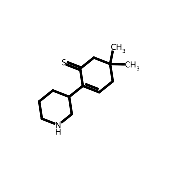 CC1(C)CC=C(C2CCCNC2)C(=S)C1